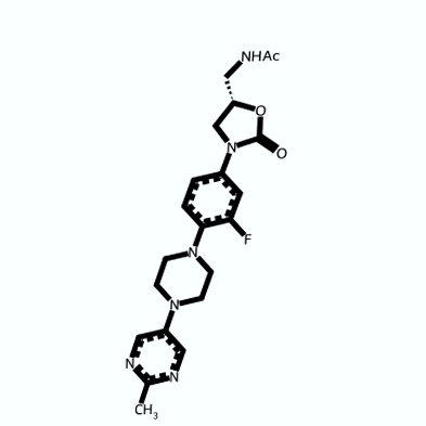 CC(=O)NC[C@H]1CN(c2ccc(N3CCN(c4cnc(C)nc4)CC3)c(F)c2)C(=O)O1